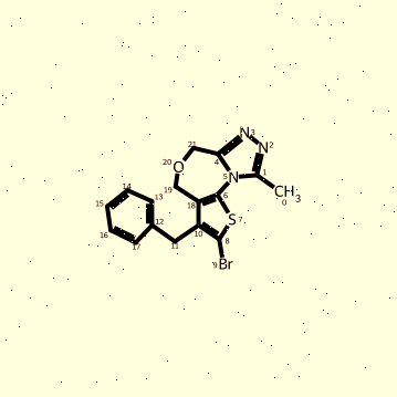 Cc1nnc2n1-c1sc(Br)c(Cc3ccccc3)c1COC2